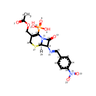 CC(=O)OCC1=C(P(=O)(O)O)N2C(=O)[C@@H](/N=C/c3ccc([N+](=O)[O-])cc3)[C@H]2SC1